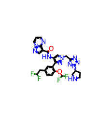 O=C(Nc1cn(Cc2nnn(C3CCNC3)n2)nc1-c1cc(CC(F)F)ccc1OC(F)F)c1cnn2cccnc12